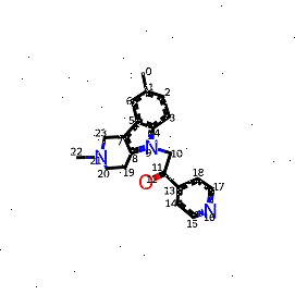 Cc1ccc2c(c1)c1c(n2CC(=O)c2ccncc2)CCN(C)C1